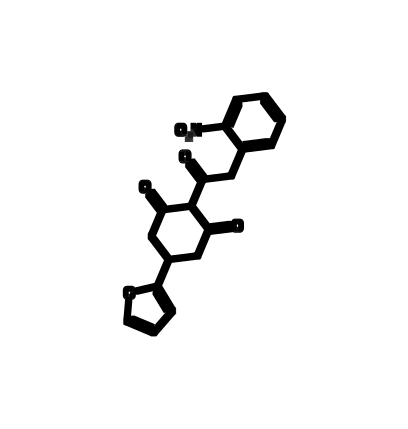 O=C(Cc1ccccc1[N+](=O)[O-])C1C(=O)CC(c2ccco2)CC1=O